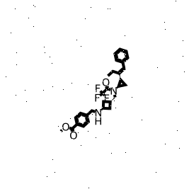 CC/C(=C\c1ccccc1)[C@@H]1C[C@H]1N(C[C@H]1C[C@H](NCc2ccc(C(=O)OC)cc2)C1)C(=O)C(F)(F)F